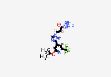 CC(C)Oc1cc(-c2ncn(C=CC(=O)NN)n2)cc(C(F)(F)F)n1